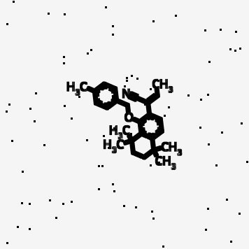 CC=C(C#N)c1ccc2c(c1OCc1ccc(C)cc1)C(C)(C)CCC2(C)C